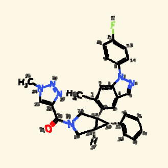 Cc1cc2c(cnn2-c2ccc(F)cc2)cc1[C@@]12CN(C(=O)c3cn(C)nn3)C[C@@H]1[C@H]2c1ccccc1